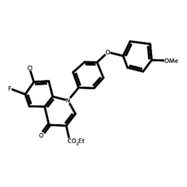 CCOC(=O)c1cn(-c2ccc(Oc3ccc(OC)cc3)cc2)c2cc(Cl)c(F)cc2c1=O